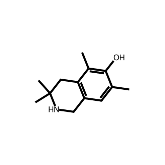 Cc1cc2c(c(C)c1O)CC(C)(C)NC2